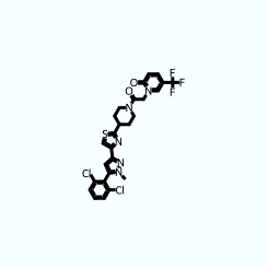 Cn1nc(-c2csc(C3CCN(C(=O)Cn4cc(C(F)(F)F)ccc4=O)CC3)n2)cc1-c1c(Cl)cccc1Cl